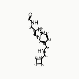 O=CNCc1cn2cc(CNCC3CCC3)ccc2n1